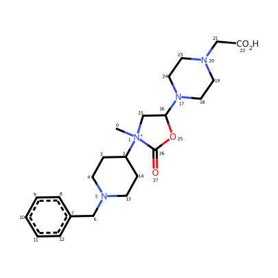 C[N+]1(C2CCN(Cc3ccccc3)CC2)CC(N2CCN(CC(=O)O)CC2)OC1=O